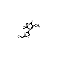 Cc1cn(C2CSC(CCl)O2)c(=O)[nH]c1=O